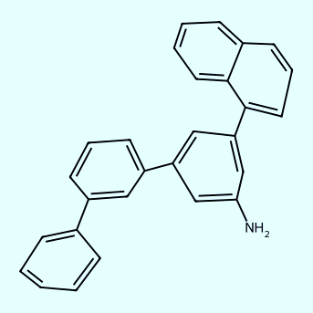 Nc1cc(-c2cccc(-c3ccccc3)c2)cc(-c2cccc3ccccc23)c1